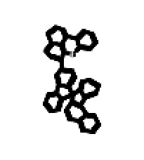 c1ccc2c(c1)Oc1c(-c3ccc4c(c3)-c3ccccc3C43c4ccccc4-c4c3ccc3ccccc43)ccc3cccc-2c13